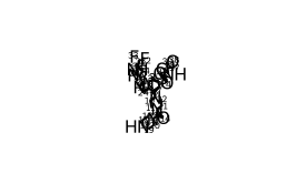 CC1(NS(=O)(=O)c2cc(N3CCN(C(=O)N4CCNCC4)CC3)c3cnc(-c4nnc(C(F)F)s4)n3c2)COC1